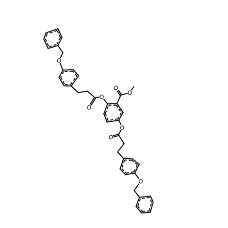 COC(=O)c1cc(OC(=O)CCc2ccc(OCc3ccccc3)cc2)ccc1OC(=O)CCc1ccc(OCc2ccccc2)cc1